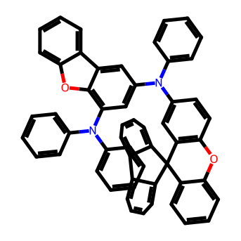 c1ccc(N(c2ccc3c(c2)C2(c4ccccc4O3)c3ccccc3-c3ccccc32)c2cc(N(c3ccccc3)c3ccccc3)c3oc4ccccc4c3c2)cc1